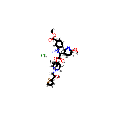 CCOC(=O)c1cccc(NC(C(=O)O[C@H]2C[N+]3(CC(=O)c4cccs4)CCC2CC3)c2ccc(OC)nc2)c1.[Cl-]